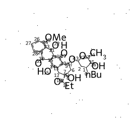 CCCCC1CC(O[C@H]2C[C@](O)(C(=O)CC)Cc3c(O)c4c(c(O)c32)C(=O)c2c(OC)cccc2C4=O)OC(C)C1O